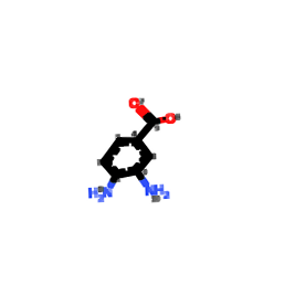 Nc1ccc(C([O])=O)cc1N